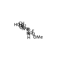 COCCOc1cc2[nH]nc(-c3cc(-c4ccc(C(=O)N5CC[C@H]5C(C)(C)O)nc4)no3)c2cc1F